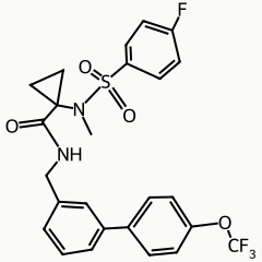 CN(C1(C(=O)NCc2cccc(-c3ccc(OC(F)(F)F)cc3)c2)CC1)S(=O)(=O)c1ccc(F)cc1